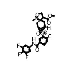 COC(=O)C1CON(C)[C@]12CC1CC[C@@H](C2)C1S(=O)(=O)c1cc(C(=O)Nc2cc(F)c(F)c(F)c2)ccc1Cl